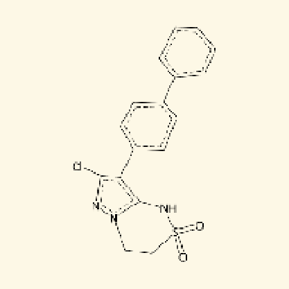 O=S1(=O)CCn2nc(Cl)c(-c3ccc(-c4ccccc4)cc3)c2N1